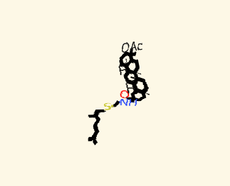 CC(=O)O[C@H]1CC[C@@]2(C)C(CC[C@]3(C)[C@@H]2CC=C2[C@@H]4CC(C)(C(=O)NCCSCC=C(C)CCC=C(C)C)CC[C@]4(C)CC[C@]23C)C1(C)C